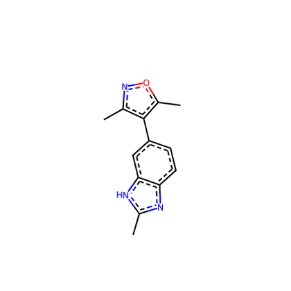 Cc1nc2ccc(-c3c(C)noc3C)cc2[nH]1